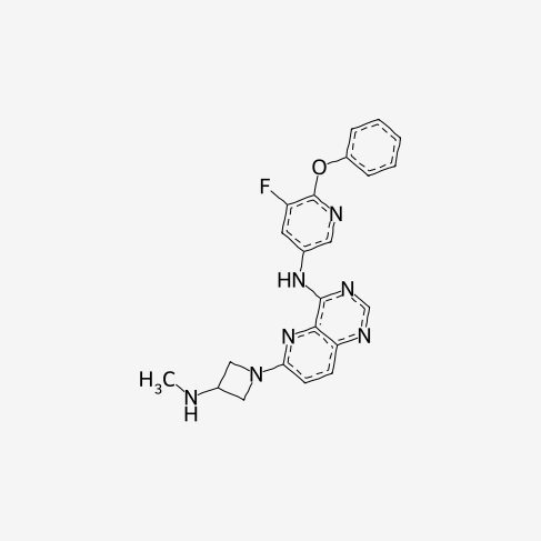 CNC1CN(c2ccc3ncnc(Nc4cnc(Oc5ccccc5)c(F)c4)c3n2)C1